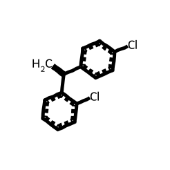 C=C(c1ccc(Cl)cc1)c1ccccc1Cl